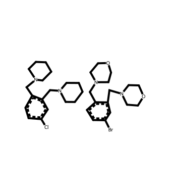 Brc1ccc(CN2CCOCC2)c(CN2CCOCC2)c1.Clc1ccc(CN2CCCCC2)c(CN2CCCCC2)c1